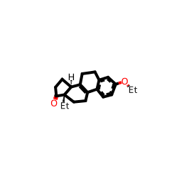 CCOc1ccc2c(c1)CCC1=C2CC[C@]2(CC)C(=O)CC[C@@H]12